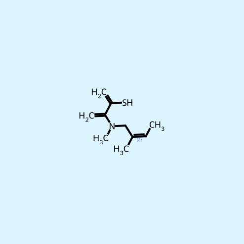 C=C(S)C(=C)N(C)C/C(C)=C\C